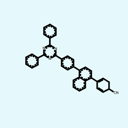 N#CC1C=CC(c2ccc(-c3ccc(-c4nc(-c5ccccc5)nc(-c5ccccc5)n4)cc3)c3ccccc23)=CC1